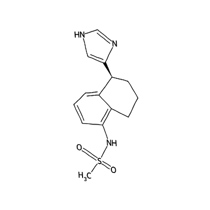 CS(=O)(=O)Nc1cccc2c1CCC[C@@H]2c1c[nH]cn1